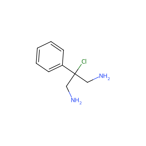 NCC(Cl)(CN)c1ccccc1